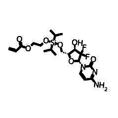 C=CC(=O)OCCO[Si](OC[C@H]1O[C@@H](n2ccc(N)nc2=O)C(F)(F)[C@@H]1O)(C(C)C)C(C)C